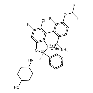 CO[C@H]1c2c(cc(F)c(Cl)c2-c2c(C(N)=O)ccc(OC(F)F)c2F)O[C@]1(CNC1CCC(O)CC1)c1ccccc1